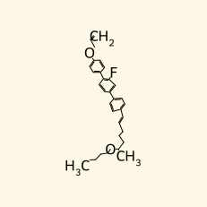 C=CCOc1ccc(-c2ccc(-c3ccc(C=CCCCC(C)OCCCCC)cc3)cc2F)cc1